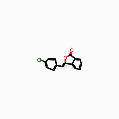 O=C1O/C(=C\c2ccc(Cl)cc2)c2ccccc21